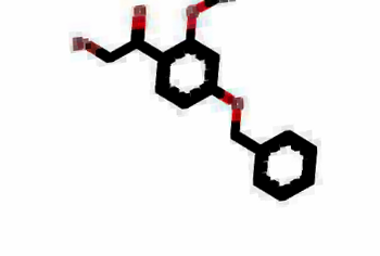 CCCOc1cc(OCc2ccccc2)ccc1C(=O)CBr